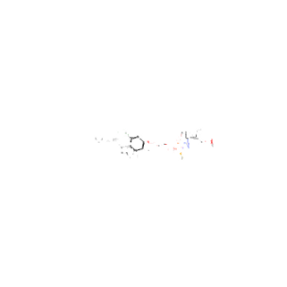 CCOCC(C)CNP(=S)(OCCOc1ccc(C(OC)OC)c(Cl)c1)OC(C)(C)C